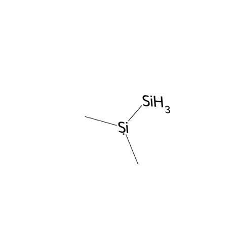 C[Si](C)[SiH3]